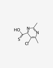 Cc1nc(C)c(Cl)c(C(O)=S)n1